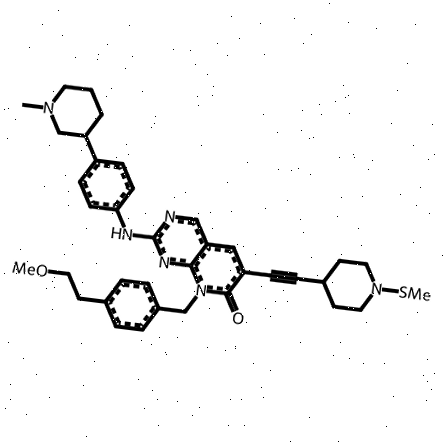 COCCc1ccc(Cn2c(=O)c(C#CC3CCN(SC)CC3)cc3cnc(Nc4ccc(C5CCCN(C)C5)cc4)nc32)cc1